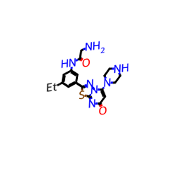 CCc1cc(NC(=O)CN)cc(-c2nn3c(N4CCNCC4)cc(=O)nc3s2)c1